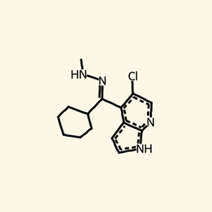 CN/N=C(/c1c(Cl)cnc2[nH]ccc12)C1CCCCC1